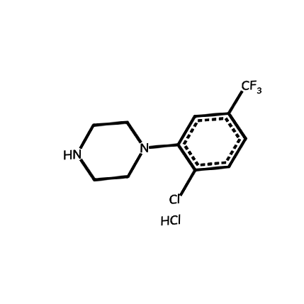 Cl.FC(F)(F)c1ccc(Cl)c(N2CCNCC2)c1